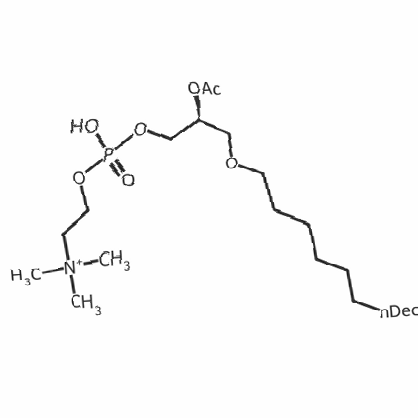 CCCCCCCCCCCCCCCCOC[C@@H](COP(=O)(O)OCC[N+](C)(C)C)OC(C)=O